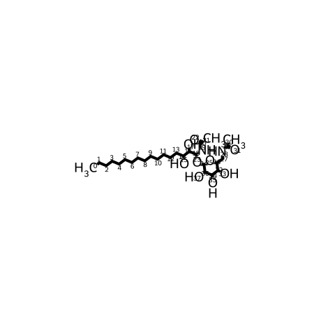 CCCCCCCCCCCCCC[C@@H](O)C(O)[C@@H](NC(C)=O)OC1OC(CNC(C)=O)C(O)C(O)C1O